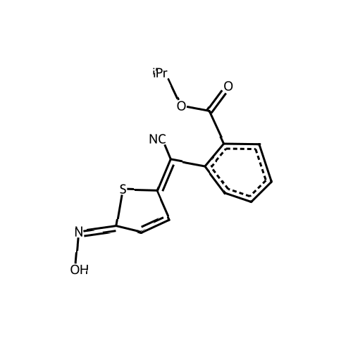 CC(C)OC(=O)c1ccccc1C(C#N)=C1C=CC(=NO)S1